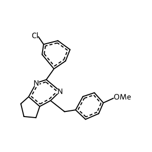 COc1ccc(Cc2nc(-c3cccc(Cl)c3)nc3c2CCC3)cc1